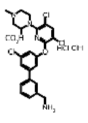 CN1CCN(c2nc(Oc3cc(Cl)cc(-c4cccc(CN)c4)c3)c(Cl)cc2Cl)C(C(=O)O)C1.Cl.Cl